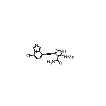 CNc1[nH]nc(C#Cc2ccc(Cl)n3cncc23)c1C(N)=O